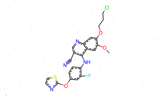 COc1cc2c(Nc3ccc(Oc4nccs4)cc3F)c(C#N)cnc2cc1OCCCCl